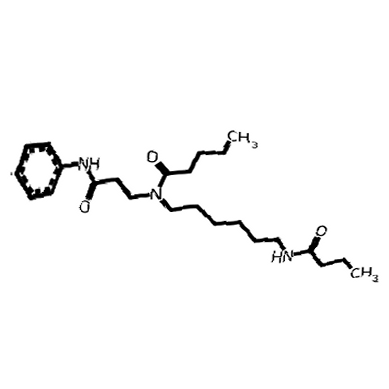 CCCCC(=O)N(CCCCCCNC(=O)CCC)CCC(=O)Nc1cc[c]cc1